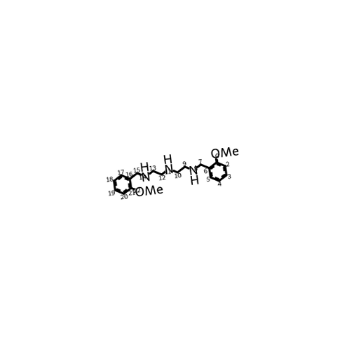 COc1ccccc1CNCCNCCNCc1ccccc1OC